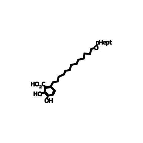 CCCCCCCOCCCCCCCCCCCCCc1ccc(O)c(O)c1C(=O)O